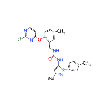 Cc1ccc(-n2nc(C(C)(C)C)cc2NC(=O)NCc2cc(C)ccc2Oc2ccnc(Cl)n2)cc1